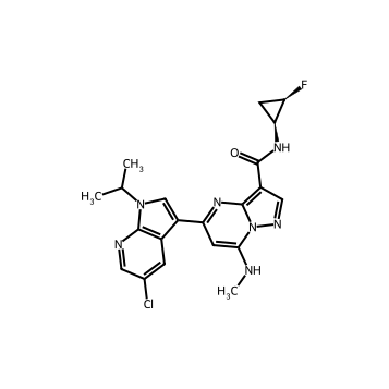 CNc1cc(-c2cn(C(C)C)c3ncc(Cl)cc23)nc2c(C(=O)N[C@H]3C[C@H]3F)cnn12